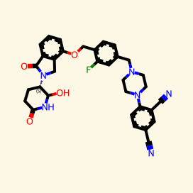 N#Cc1ccc(N2CCN(Cc3ccc(COc4cccc5c4CN([C@H]4CCC(=O)NC4O)C5=O)c(F)c3)CC2)c(C#N)c1